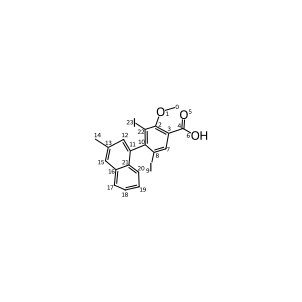 COc1c(C(=O)O)cc(I)c(-c2cc(C)cc3ccccc23)c1I